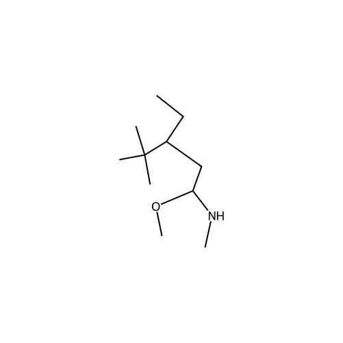 CCC(CC(NC)OC)C(C)(C)C